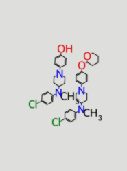 CN(c1ccc(Cl)cc1)C1CCN(c2ccc(O)cc2)CC1.CN(c1ccc(Cl)cc1)C1CCN(c2ccc(OC3CCCCO3)cc2)CC1